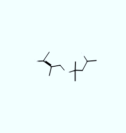 C/C(N)=C(/C)COC(C)(C)CC(C)N